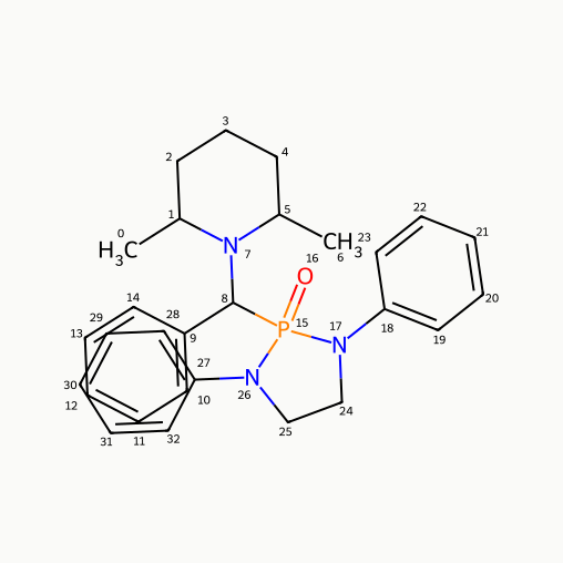 CC1CCCC(C)N1C(c1ccccc1)P1(=O)N(c2ccccc2)CCN1c1ccccc1